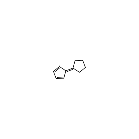 [C]1=CC=CC1=C1CCCC1